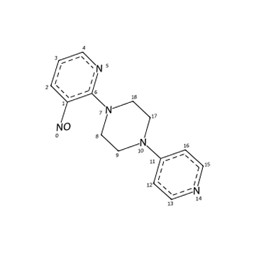 O=Nc1cccnc1N1CCN(c2ccncc2)CC1